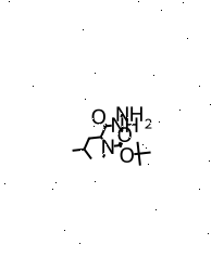 CC(C)CC(C(=O)NN)N(C)C(=O)OC(C)(C)C